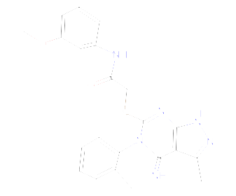 COc1cccc(NC(=O)CSc2nc3[nH]nc(C)c3c(=N)n2-c2ccccc2C)c1